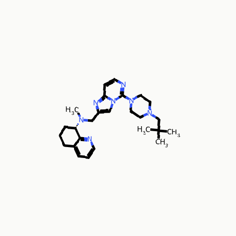 CN(Cc1cn2c(N3CCN(CC(C)(C)C)CC3)nccc2n1)[C@H]1CCCc2cccnc21